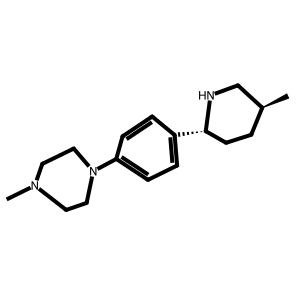 C[C@H]1CC[C@H](c2ccc(N3CCN(C)CC3)cc2)NC1